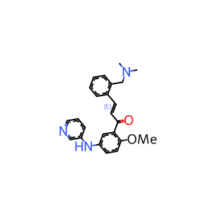 COc1ccc(Nc2cccnc2)cc1C(=O)/C=C/c1ccccc1CN(C)C